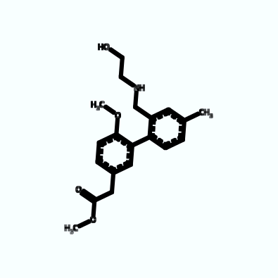 COC(=O)Cc1ccc(OC)c(-c2ccc(C)cc2CNCCO)c1